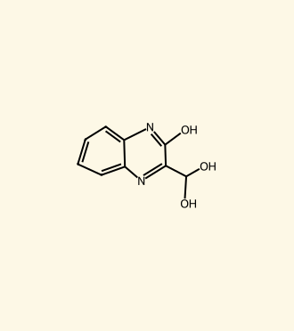 Oc1nc2ccccc2nc1C(O)O